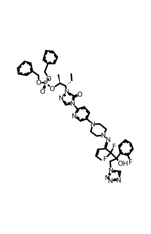 C/C=C\C(=N/N1CCN(c2ccc(-n3cnn([C@@H](CC)[C@H](C)OP(=O)(OCc4ccccc4)OCc4ccccc4)c3=O)nc2)CC1)C(F)(F)C(O)(Cn1cnnn1)c1ccccc1F